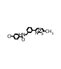 Cc1cn2cc(-c3cccc(CNC(=O)c4ccc(Cl)cc4)c3)nc2s1